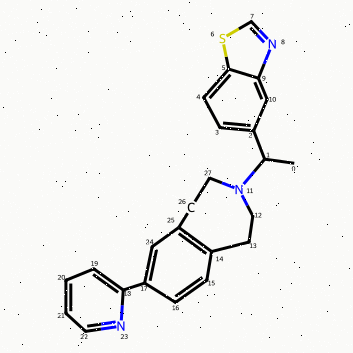 CC(c1ccc2scnc2c1)N1CCc2ccc(-c3ccccn3)cc2CC1